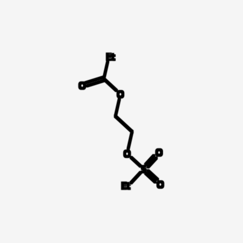 CCC(=O)OCCOS(=O)(=O)CC